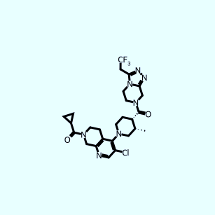 C[C@@H]1CN(c2c(Cl)cnc3c2CCN(C(=O)C2CC2)C3)CC[C@@H]1C(=O)N1CCn2c(nnc2CC(F)(F)F)C1